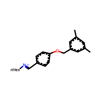 CCCCCC/N=C/c1ccc(OCc2cc(C)cc(C)c2)cc1